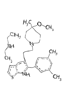 CCNCC.COC1(C)CCN(CCc2c(-c3cc(C)cc(C)c3)[nH]c3sccc23)CC1